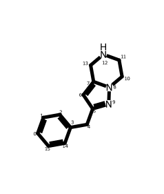 c1ccc(Cc2cc3n(n2)CCNC3)cc1